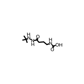 CC(C)(C)NNC(=O)CCCNC(=O)O